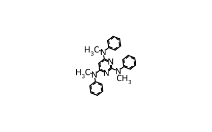 CN(c1ccccc1)c1cc(N(C)c2ccccc2)nc(N(C)c2ccccc2)n1